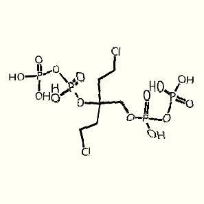 O=P(O)(O)OP(=O)(O)OCC(CCCl)(CCCl)OP(=O)(O)OP(=O)(O)O